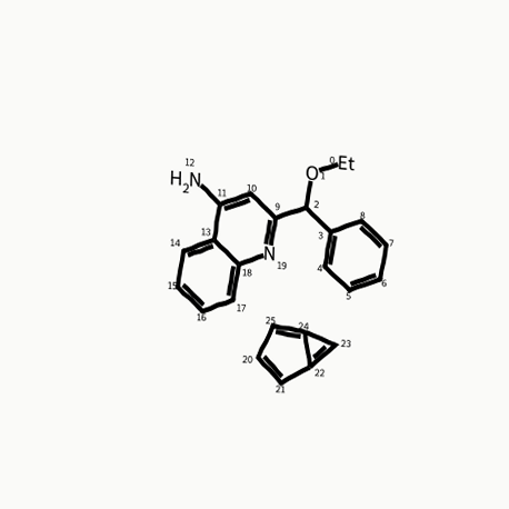 CCOC(c1ccccc1)c1cc(N)c2ccccc2n1.c1cc2cc-2c1